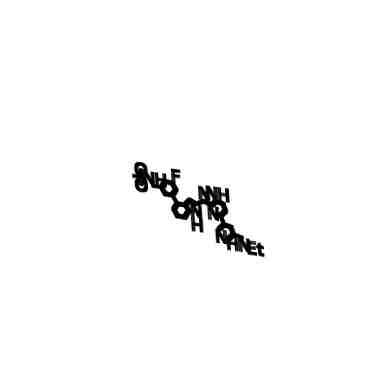 CCNCc1cncc(-c2ccc3[nH]nc(-c4cc5c(-c6cc(F)cc(CNS(C)(=O)=O)c6)cccc5[nH]4)c3n2)c1